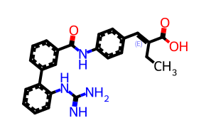 CC/C(=C\c1ccc(NC(=O)c2cccc(-c3ccccc3NC(=N)N)c2)cc1)C(=O)O